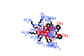 CC(=O)N[C@@H](CCCNC(=N)N)C(=O)N[C@@H](Cc1ccc(O)cc1)C(=O)N[C@@H](Cc1ccc(O)cc1)C(=O)N[C@@H](CCCNC(=N)N)C(=O)N[C@@H](Cc1c[nH]c2ccccc12)C(=O)N[C@@H](CCCCN)C(=O)N[C@@H](CCCCN)C(=O)N[C@@H](CCCCN)C(=O)N[C@@H](CCCCN)C(=O)N[C@@H](CCCCN)C(=O)N[C@@H](CCCCN)C(=O)N[C@@H](CCCCN)C(N)=O